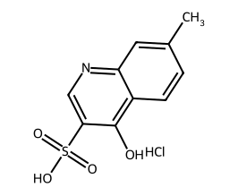 Cc1ccc2c(O)c(S(=O)(=O)O)cnc2c1.Cl